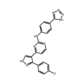 Clc1ccc(-c2n[nH]cc2-c2ccnc(Nc3ccc(-c4nnn[nH]4)cc3)n2)cc1